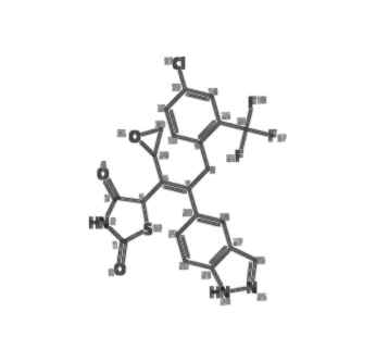 O=C1NC(=O)C(C(=C(Cc2ccc(Cl)cc2C(F)(F)F)c2ccc3[nH]ncc3c2)C2CO2)S1